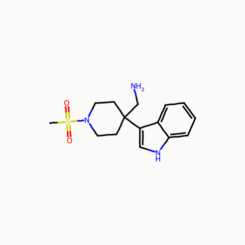 CS(=O)(=O)N1CCC(CN)(c2c[nH]c3ccccc23)CC1